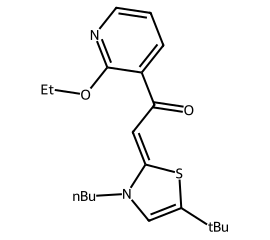 CCCCN1C=C(C(C)(C)C)SC1=CC(=O)c1cccnc1OCC